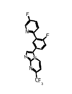 Fc1ccc(-c2cc(-c3cnc4nc(C(F)(F)F)ccn34)ccc2F)nc1